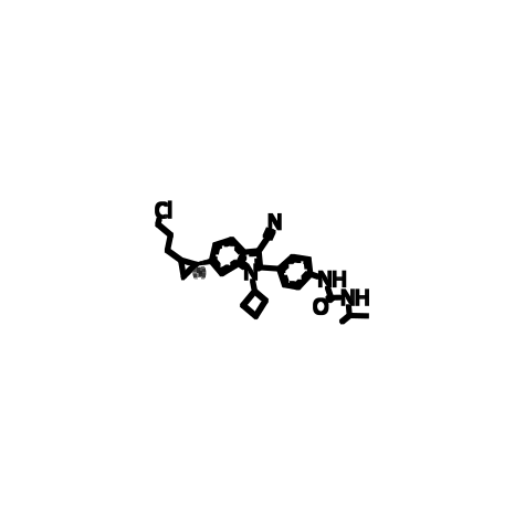 CC(C)NC(=O)Nc1ccc(-c2c(C#N)c3ccc([C@H]4CC4CCCCl)cc3n2C2CCC2)cc1